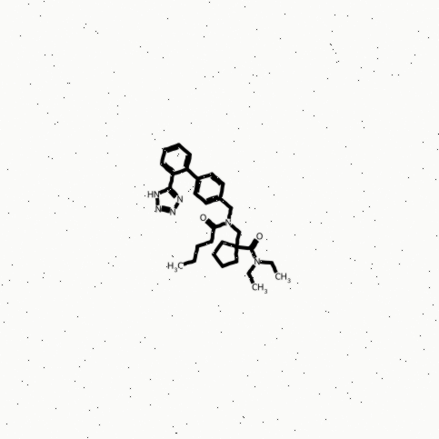 CCCCC(=O)N(Cc1ccc(-c2ccccc2-c2nnn[nH]2)cc1)CC1(C(=O)N(CC)CC)CCCC1